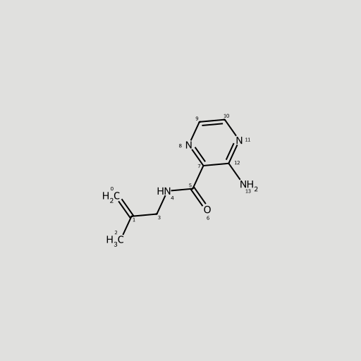 C=C(C)CNC(=O)c1nccnc1N